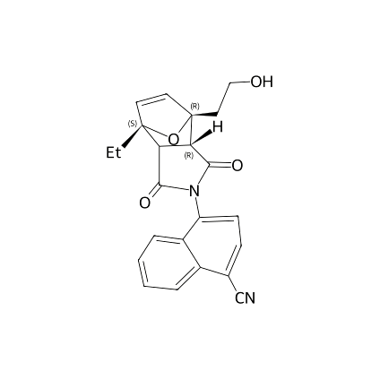 CC[C@@]12C=C[C@@](CCO)(O1)[C@@H]1C(=O)N(c3ccc(C#N)c4ccccc34)C(=O)C12